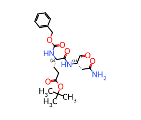 CC(C)(C)OC(=O)CC[C@H](NC(=O)OCc1ccccc1)C(=O)N[C@H](C=O)CC(N)=O